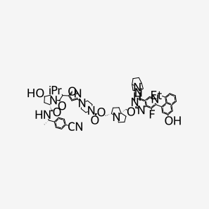 CCc1cccc2cc(O)cc(-c3ncc4c(N5CC6CCC(C5)N6)nc(OC[C@]56CCCN5[C@H](COC(=O)N5CCN(c7cc([C@@H](C(=O)N8C[C@H](O)C[C@H]8C(=O)N[C@@H](C)c8ccc(C#N)cc8)C(C)C)on7)CC5)CC6)nc4c3F)c12